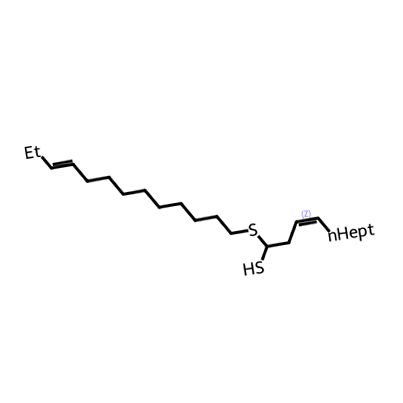 CCC=CCCCCCCCCCSC(S)C/C=C\CCCCCCC